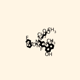 CCc1c(F)ccc2cc(O)cc(-c3ncc4c(N(CC)CCCC(=O)OC)nc(OC[C@@]56CCCN5C[C@H](F)C6)nc4c3F)c12